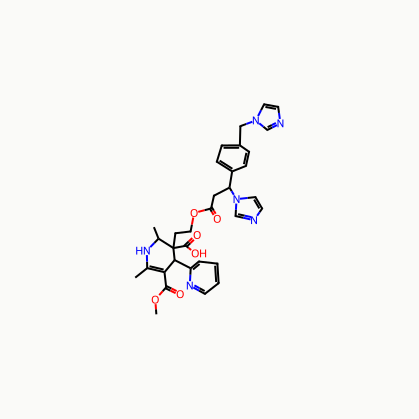 COC(=O)C1=C(C)NC(C)C(CCOC(=O)CC(c2ccc(Cn3ccnc3)cc2)n2ccnc2)(C(=O)O)C1c1ccccn1